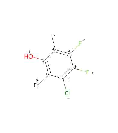 CCc1c(O)c(C)c(F)c(F)c1Cl